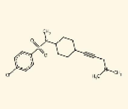 CN(C)CC#CC1CCC(N(C)S(=O)(=O)c2ccc(Cl)cc2)CC1